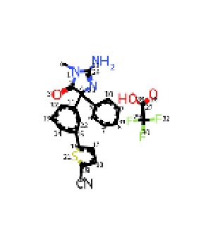 CN1C(=O)C(c2ccccc2)(c2cccc(-c3ccc(C#N)s3)c2)N=C1N.O=C(O)C(F)(F)F